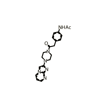 CC(=O)Nc1ccc(CC(=O)N2CCN(c3cn4cccnc4n3)CC2)cc1